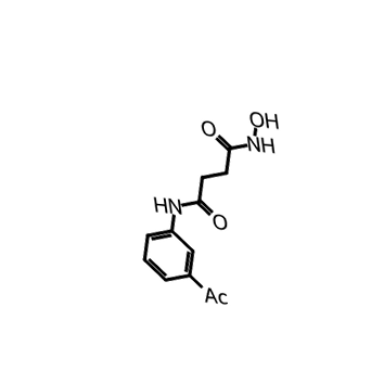 CC(=O)c1cccc(NC(=O)CCC(=O)NO)c1